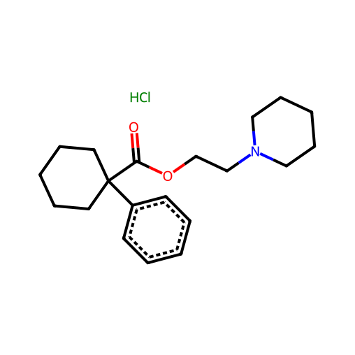 Cl.O=C(OCCN1CCCCC1)C1(c2ccccc2)CCCCC1